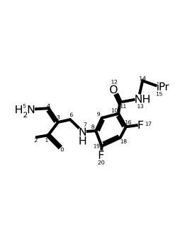 C=C(C)/C(=C\N)CNc1cc(C(=O)NCC(C)C)c(F)cc1F